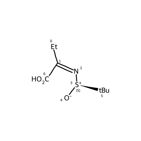 CCC(=N[S@+]([O-])C(C)(C)C)C(=O)O